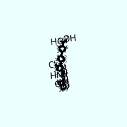 OCC(O)c1ccc(-c2ccc(-c3nc4nc(OC5COC6CCO[C@@H]65)[nH]c4cc3Cl)cc2)cc1